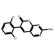 CSc1ncc2cc(-c3c(Cl)cccc3Cl)c(=O)oc2n1